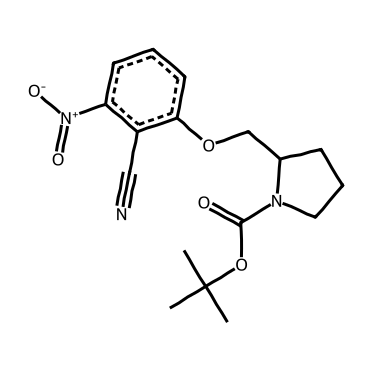 CC(C)(C)OC(=O)N1CCCC1COc1cccc([N+](=O)[O-])c1C#N